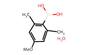 COc1cc(C)c(B(O)O)c(C)c1.O